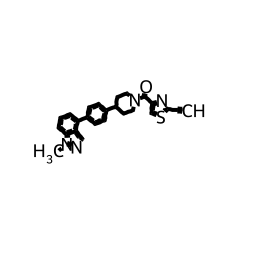 C#Cc1nc(C(=O)N2CCC(c3ccc(-c4cccc5c4cnn5C)cc3)CC2)cs1